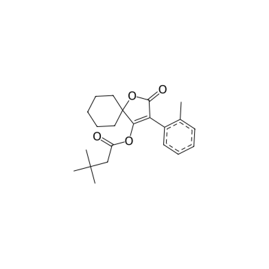 Cc1ccccc1C1=C(OC(=O)CC(C)(C)C)C2(CCCCC2)OC1=O